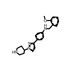 COc1ccccc1CNc1ccc(-c2ccn(C3CCNCC3)n2)cc1